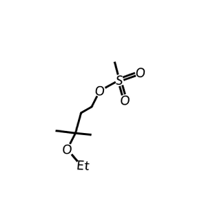 CCOC(C)(C)CCOS(C)(=O)=O